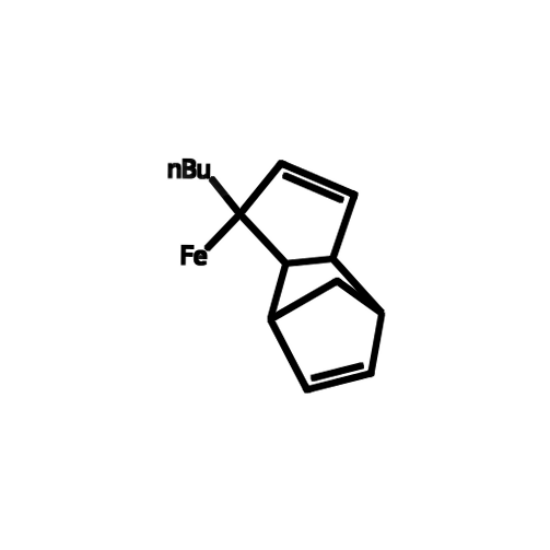 CCCC[C]1([Fe])C=CC2C3C=CC(C3)C21